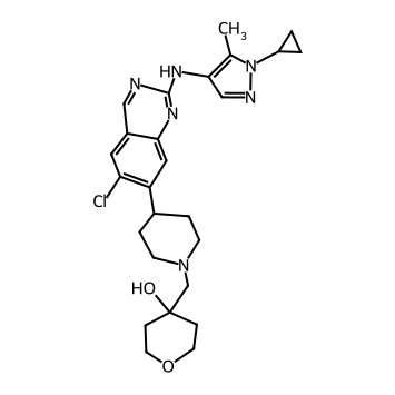 Cc1c(Nc2ncc3cc(Cl)c(C4CCN(CC5(O)CCOCC5)CC4)cc3n2)cnn1C1CC1